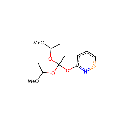 COC(C)OC(C)(Oc1cccpn1)OC(C)OC